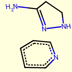 NC1=NNCC1.c1ccncc1